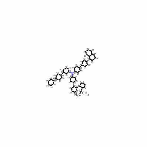 CC1(C)c2ccccc2-c2c(-c3ccc(N(c4ccc(-c5ccc(-c6cccc7ccccc67)cc5)cc4)c4cccc(-c5ccc(-c6ccccc6)cc5)c4)cc3)cccc21